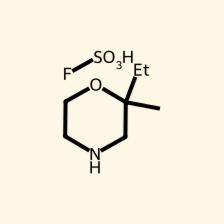 CCC1(C)CNCCO1.O=S(=O)(O)F